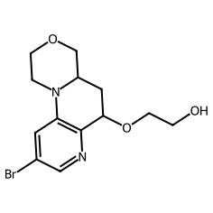 OCCOC1CC2COCCN2c2cc(Br)cnc21